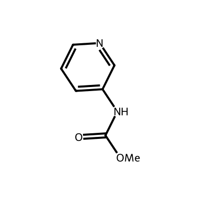 COC(=O)Nc1cccnc1